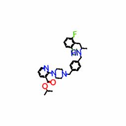 CC(Cc1c(F)cccc1Cl)NCc1ccc(CN2CCN(c3ncccc3C(=O)OC(C)C)CC2)cc1